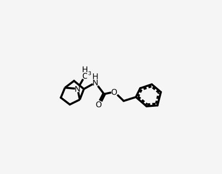 CN1C2CCC1C(NC(=O)OCc1ccccc1)C2